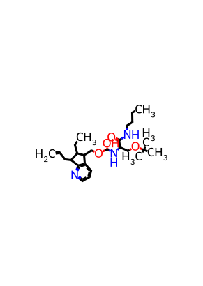 C=CCC1c2ncccc2C(COC(O)NC(COC(C)(C)C)C(=O)NCCCC)C1CC